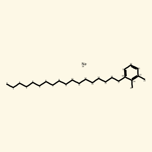 CCCCCCCCCCCCCCCCCCc1cccc(C)c1C.[Na]